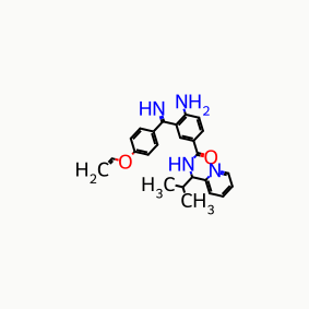 C=COc1ccc(C(=N)c2cc(C(=O)NC(c3ccccn3)C(C)C)ccc2N)cc1